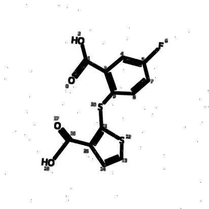 O=C(O)c1cc(F)ccc1Sc1sccc1C(=O)O